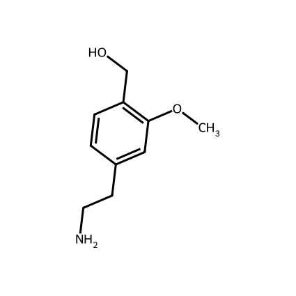 COc1cc(CCN)ccc1CO